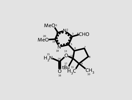 COc1nc(C=O)c(C2CCC(C)(C)C2(OC(N)=O)C(C)(C)C)nc1OC